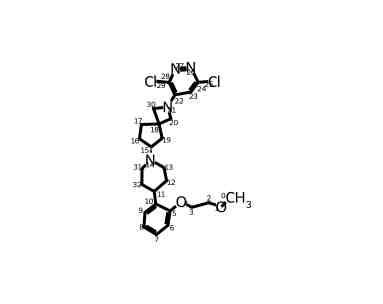 COCCOc1ccccc1C1CCN([C@@H]2CCC3(C2)CN(c2cc(Cl)nnc2Cl)C3)CC1